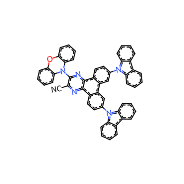 N#Cc1nc2c3ccc(-n4c5ccccc5c5ccccc54)cc3c3cc(-n4c5ccccc5c5ccccc54)ccc3c2nc1N1c2ccccc2Oc2ccccc21